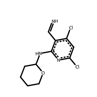 N=Cc1c(Cl)cc(Cl)nc1NC1CCCCO1